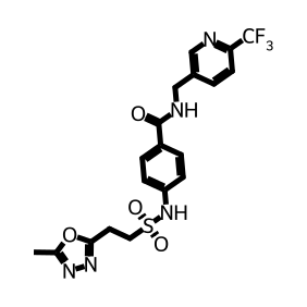 Cc1nnc(CCS(=O)(=O)Nc2ccc(C(=O)NCc3ccc(C(F)(F)F)nc3)cc2)o1